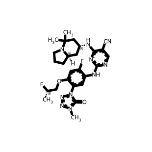 C[C@H](F)COc1cc(F)c(Nc2ncc(C#N)c(N[C@@H]3C[C@H]4CCCN4C(C)(C)C3)n2)cc1-n1nnn(C)c1=O